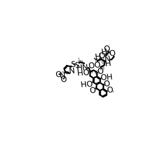 COc1cccc2c1C(=O)c1c(O)c3c(c(O)c1C2=O)C[C@@](O)(C(=O)NC[C@@H](C)SSc1ccc([N+](=O)[O-])cn1)C[C@@H]3O[C@H]1C[C@H]2[C@H](O[C@@H]3[C@@H](OC)OCCN32)[C@H](C)O1